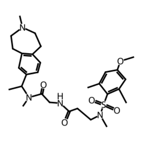 COc1cc(C)c(S(=O)(=O)N(C)CCC(=O)NCC(=O)N(C)C(C)c2ccc3c(c2)CCN(C)CC3)c(C)c1